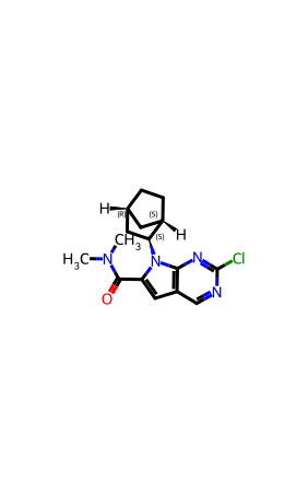 CN(C)C(=O)c1cc2cnc(Cl)nc2n1[C@H]1C[C@@H]2CC[C@H]1C2